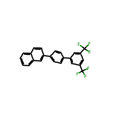 FC(F)(F)c1cc(-c2ccc(-c3ccc4ccccc4c3)cc2)cc(C(F)(F)F)c1